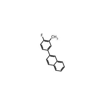 Cc1cc(-c2ccc3ccccc3c2)ccc1F